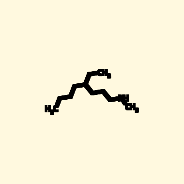 CCCCC(CC)CCCNC